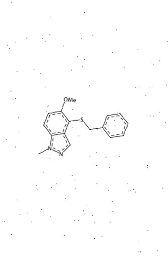 COc1ccc2c(cnn2C)c1SCc1ccccc1